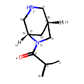 CC(C)C(=O)N1C[C@H]2CNC[C@@H]1C2